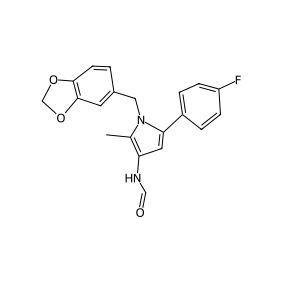 Cc1c(NC=O)cc(-c2ccc(F)cc2)n1Cc1ccc2c(c1)OCO2